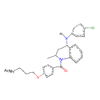 CC(=O)NCCCOc1ccc(C(=O)N2c3ccccc3C(N(C(C)=O)c3ccc(Cl)cc3)CC2C)cc1